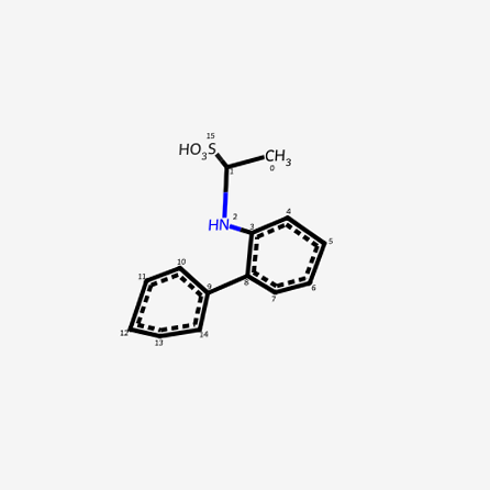 CC(Nc1ccccc1-c1ccccc1)S(=O)(=O)O